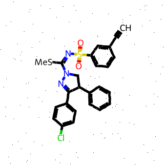 C#Cc1cccc(S(=O)(=O)N=C(SC)N2CC(c3ccccc3)C(c3ccc(Cl)cc3)=N2)c1